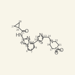 O=C(Nc1nc2cccc(-c3cnc(CN4CCS(=O)(=O)CC4)s3)n2n1)C1CC1